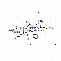 CC(C)C(Cl)[C@](Cl)(NC(=O)[C@@H](Cc1ccccc1)NC(=O)[C@H](CCN)NC(=O)[C@@H](N)CCN)C(=O)N[C@@H](CCN)C(=O)N[C@@H](CCN)C(=O)N[C@H](C(=O)O)[C@@H](C)O